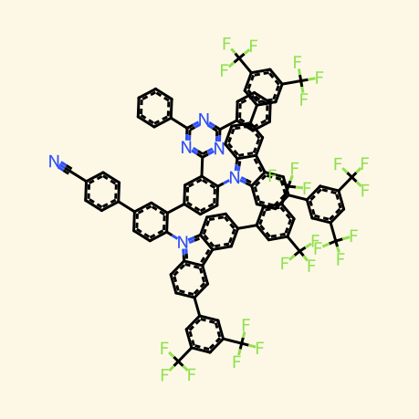 N#Cc1ccc(-c2ccc(-n3c4ccc(-c5cc(C(F)(F)F)cc(C(F)(F)F)c5)cc4c4cc(-c5cc(C(F)(F)F)cc(C(F)(F)F)c5)ccc43)c(-c3ccc(-n4c5ccc(-c6cc(C(F)(F)F)cc(C(F)(F)F)c6)cc5c5cc(-c6cc(C(F)(F)F)cc(C(F)(F)F)c6)ccc54)c(-c4nc(-c5ccccc5)nc(-c5ccccc5)n4)c3)c2)cc1